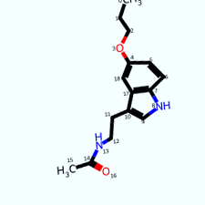 CCCOc1ccc2[nH]cc(CCNC(C)=O)c2c1